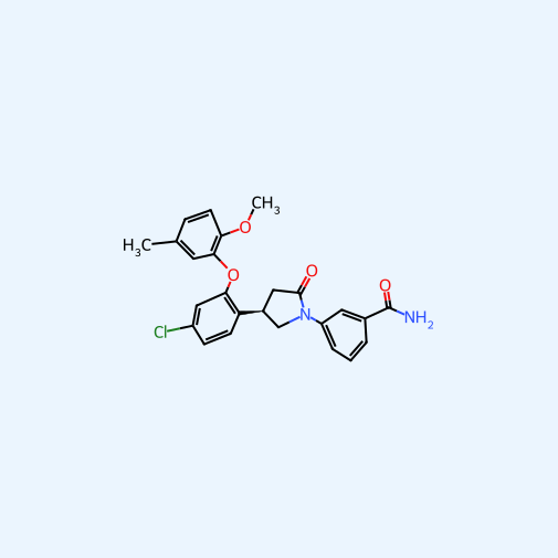 COc1ccc(C)cc1Oc1cc(Cl)ccc1[C@H]1CC(=O)N(c2cccc(C(N)=O)c2)C1